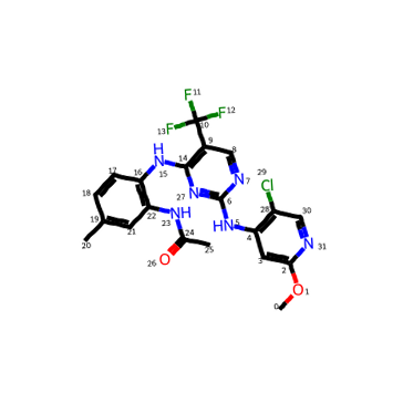 COc1cc(Nc2ncc(C(F)(F)F)c(Nc3ccc(C)cc3NC(C)=O)n2)c(Cl)cn1